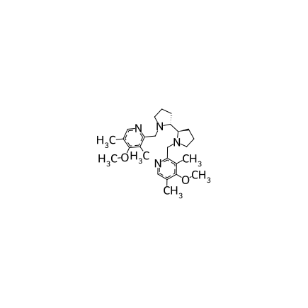 COc1c(C)cnc(CN2CCC[C@@H]2[C@H]2CCCN2Cc2ncc(C)c(OC)c2C)c1C